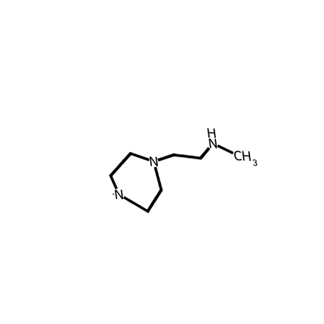 CNCCN1CC[N]CC1